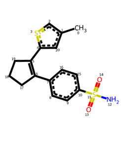 Cc1csc(C2=C(c3ccc(S(N)(=O)=O)cc3)CCC2)c1